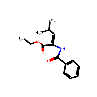 CCOC(=O)C(=CC(C)C)NC(=O)c1ccccc1